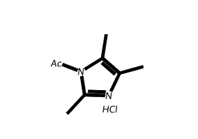 CC(=O)n1c(C)nc(C)c1C.Cl